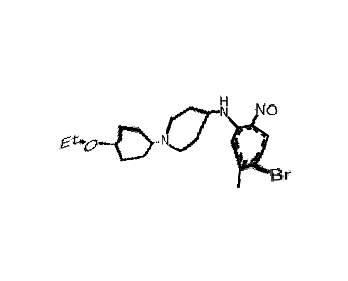 CCO[C@H]1CC[C@H](N2CCC(Nc3cc(C)c(Br)cc3N=O)CC2)CC1